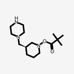 CC(C)(C)C(=O)ON1CCC[C@@H](CN2CCNCC2)C1